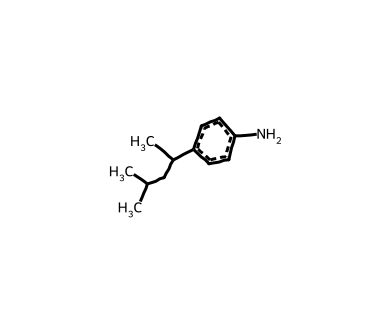 CC(C)CC(C)c1ccc(N)cc1